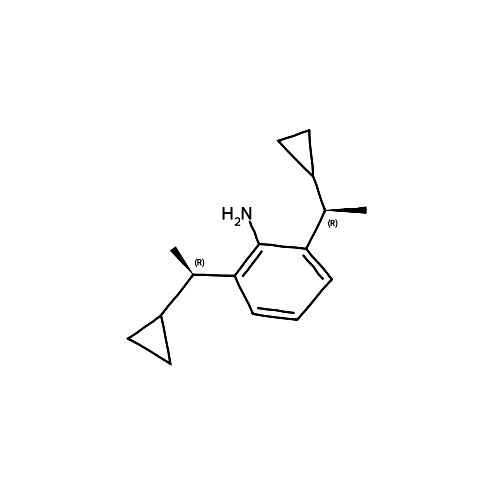 C[C@@H](c1cccc([C@H](C)C2CC2)c1N)C1CC1